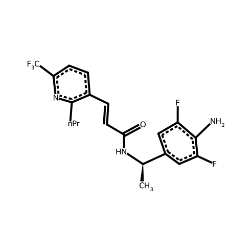 CCCc1nc(C(F)(F)F)ccc1/C=C/C(=O)N[C@H](C)c1cc(F)c(N)c(F)c1